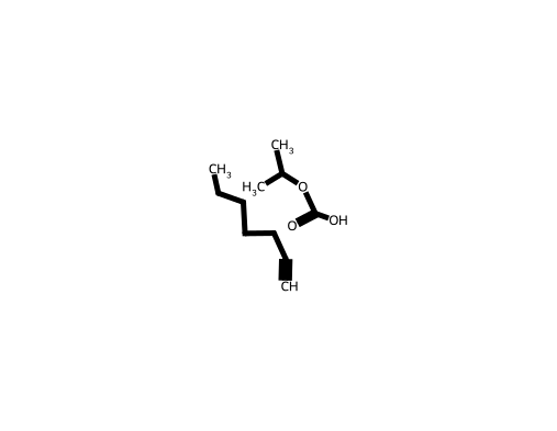 C#CCCCCC.CC(C)OC(=O)O